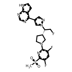 CS(=O)(=O)c1nc(N2CC[C@H](C(CF)n3cc(-c4ncnc5[nH]ccc45)cn3)C2)c(F)cc1F